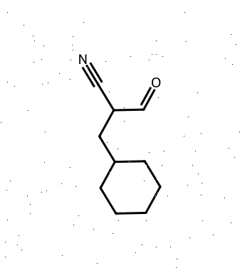 N#CC(C=O)CC1CCCCC1